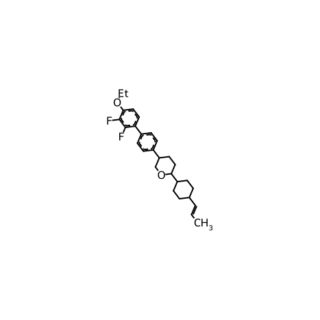 C/C=C/C1CCC(C2CCC(c3ccc(-c4ccc(OCC)c(F)c4F)cc3)CO2)CC1